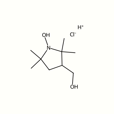 CC1(C)CC(CO)C(C)(C)N1O.[Cl-].[H+]